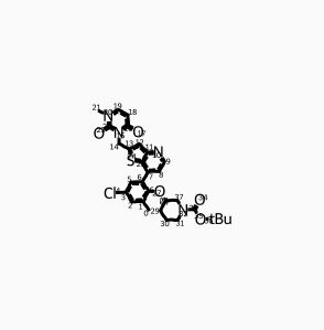 Cc1cc(Cl)cc(-c2ccnc3cc(Cn4c(=O)ccn(C)c4=O)sc23)c1O[C@H]1CCCN(C(=O)OC(C)(C)C)C1